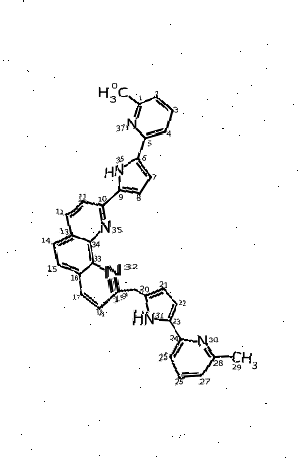 Cc1cccc(-c2ccc(-c3ccc4ccc5ccc(-c6ccc(-c7cccc(C)n7)[nH]6)nc5c4n3)[nH]2)n1